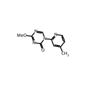 COc1ncn(-c2cc(C)ccn2)c(=O)n1